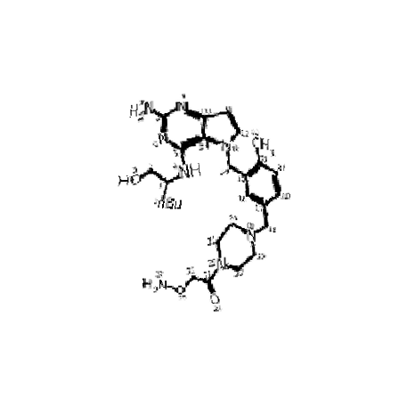 CCCC[C@@H](CO)Nc1nc(N)nc2ccn(Cc3cc(CN4CCN(C(=O)CON)CC4)ccc3C)c12